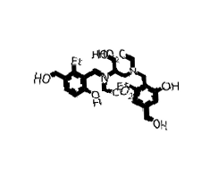 CCc1cc(CO)cc(O)c1CN(CC(=O)O)CC(CO)N(CC(=O)O)Cc1c(O)ccc(CO)c1CC